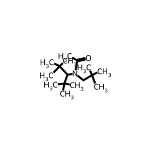 CC(=O)N(CC(C)(C)C)C(C(C)(C)C)C(C)(C)C